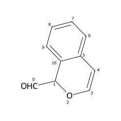 O=CC1OC=Cc2ccccc21